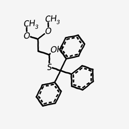 COC(CC(O)SC(c1ccccc1)(c1ccccc1)c1ccccc1)OC